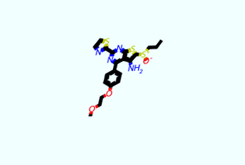 CCC[S+]([O-])c1sc2nc(-c3nccs3)nc(-c3ccc(OCCOC)cc3)c2c1N